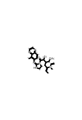 C=CN(C)/C(=C\C)CC(COC(C)=O)C(CC)C(=O)N1CCN/C1=N/c1ccc2nccnc2c1C